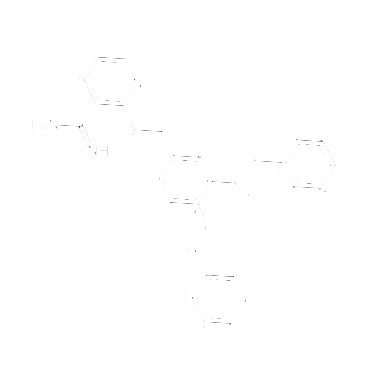 N=C(N)c1cccnc1CCc1ccc(OCc2ccccc2)c(OCc2ccccc2)c1